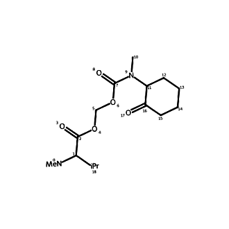 CNC(C(=O)OCOC(=O)N(C)C1CCCCC1=O)C(C)C